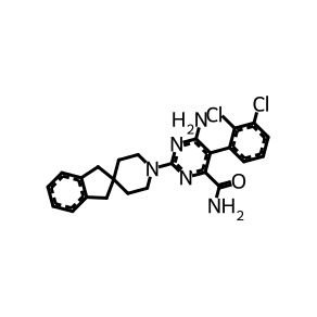 NC(=O)c1nc(N2CCC3(CC2)Cc2ccccc2C3)nc(N)c1-c1cccc(Cl)c1Cl